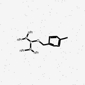 CCCN(CCC)P(OCc1ccc(C)cc1)N(CCC)CCC